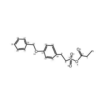 CCC(=O)OS(=O)(=O)CCc1ccc(OCc2ccccc2)cc1